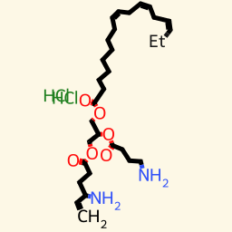 C=CC(N)CCC(=O)OCC(COC(=O)CCCCCCC/C=C\C/C=C\C/C=C\CC)OC(=O)CCCN.Cl.Cl